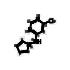 Clc1cc(Nn2cccc2)ncn1